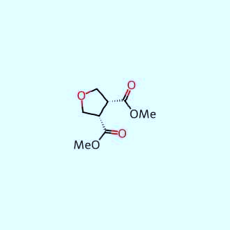 COC(=O)[C@H]1COC[C@H]1C(=O)OC